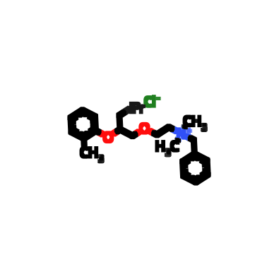 Cc1ccccc1OC(COCC[N+](C)(C)Cc1ccccc1)CC(C)C.[Cl-]